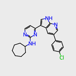 Clc1ccc(-c2cnc3[nH]cc(-c4ccnc(NC5CCCCCC5)n4)c3c2)cc1